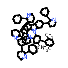 N#Cc1cc(-n2c3cc(-c4cccnc4-c4ccccc4)ccc3c3ccc(-c4cccnc4-c4ccccc4)cc32)c(-n2c3cc(-c4cccnc4-c4ccccc4)ccc3c3ccc(-c4cccnc4-c4ccccc4)cc32)cc1-c1c(C(F)(F)F)cccc1C(F)(F)F